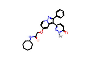 CC(C)n1nc(-c2c(-c3ccccc3)nn3ccc(OCC(=O)NC4CCCCCC4)cc23)ccc1=O